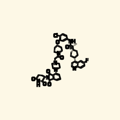 C[C@@H](C(=O)Nc1ccc(Cl)c(OC2CCN(C(=O)CN3CCN(c4cccc5c4C(=O)N(C4CCC(=O)NC4=O)C5=O)CC3)CC2)c1)[C@H]1CC[C@@H](c2ccnc3ccc(F)cc32)CC1